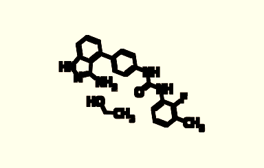 CCO.Cc1cccc(NC(=O)Nc2ccc(-c3cccc4[nH]nc(N)c34)cc2)c1F